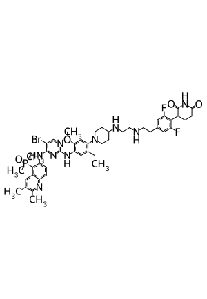 CCc1cc(Nc2ncc(Br)c(Nc3ccc4nc(C)c(C)cc4c3P(C)(C)=O)n2)c(OC)cc1N1CCC(NCCNCCc2cc(F)c(C3CCC(=O)NC3=O)c(F)c2)CC1